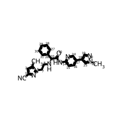 Cc1cc(C#N)nn1CCN[C@@H](C(=O)Nc1ccc(-c2cnn(C)c2)cn1)c1ccccc1